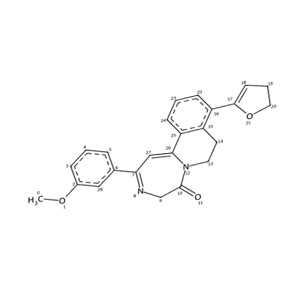 COc1cccc(C2=NCC(=O)N3CCc4c(C5=CCCO5)cccc4C3=C2)c1